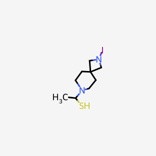 CC(S)N1CCC2(CC1)CN(I)C2